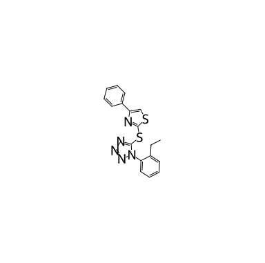 CCc1ccccc1-n1nnnc1Sc1nc(-c2ccccc2)cs1